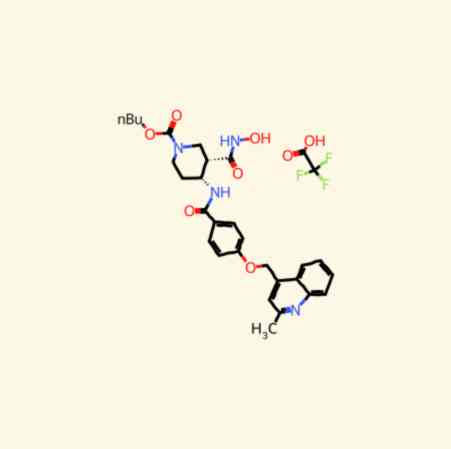 CCCCOC(=O)N1CC[C@@H](NC(=O)c2ccc(OCc3cc(C)nc4ccccc34)cc2)[C@@H](C(=O)NO)C1.O=C(O)C(F)(F)F